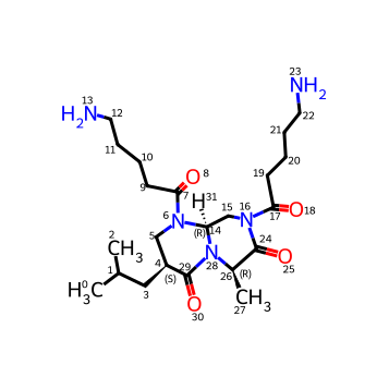 CC(C)C[C@H]1CN(C(=O)CCCCN)[C@H]2CN(C(=O)CCCCN)C(=O)[C@@H](C)N2C1=O